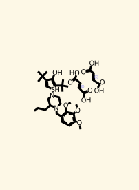 CCCC1CN([SH]2C=C(C(C)(C)C)C(O)=C2C(C)(C)C)CCN1Cc1ccc(OC)c(OC)c1OC.O=C(O)/C=C/C(=O)O.O=C(O)/C=C/C(=O)O